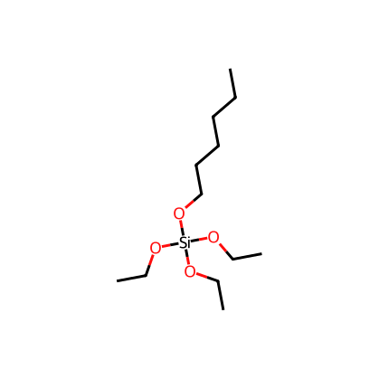 CCCCCCO[Si](OCC)(OCC)OCC